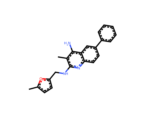 Cc1ccc(CNc2nc3ccc(-c4ccccc4)cc3c(N)c2C)o1